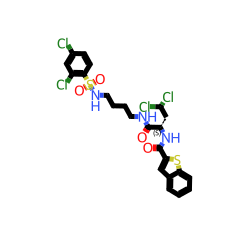 O=C(N[C@@H](CC(Cl)Cl)C(=O)NCCCCNS(=O)(=O)c1ccc(Cl)cc1Cl)c1cc2ccccc2s1